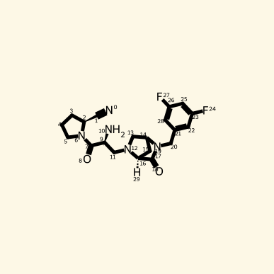 N#C[C@@H]1CCCN1C(=O)[C@@H](N)CN1CC2C[C@H]1C(=O)N2Cc1cc(F)cc(F)c1